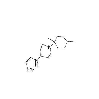 CCC/C=C\NC1CCN(C2(C)CCC(C)CC2)CC1